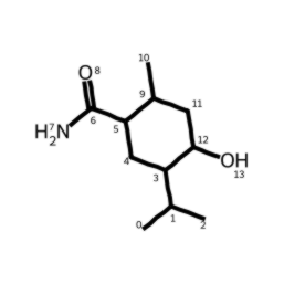 CC(C)C1CC(C(N)=O)C(C)CC1O